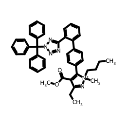 CCCC[N+]1(C)N=C(CC)C(C(=O)OC)=C1c1ccc(-c2ccccc2-c2nnn(C(c3ccccc3)(c3ccccc3)c3ccccc3)n2)cc1